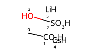 CC(=O)O.O=S(=O)(O)O.[CsH].[LiH]